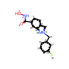 O=C(NO)c1ccc2cn(Cc3cccc(F)c3)nc2c1